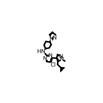 Cn1ncc(-c2nc(NC3CCC(n4cccn4)CC3)ncc2Cl)c1CC1CC1